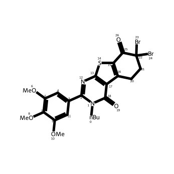 CCCCn1c(-c2cc(OC)c(OC)c(OC)c2)nc2sc3c(c2c1=O)CCC(Br)(Br)C3=O